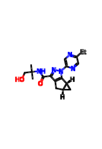 CCc1cnc(-n2nc(C(=O)NC(C)(C)CO)c3c2[C@@H]2C[C@@H]2C3)cn1